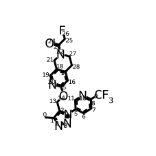 Cc1nnn(-c2ccc(C(F)(F)F)nc2)c1COc1cc2c(cn1)CN(C(=O)CF)CC2